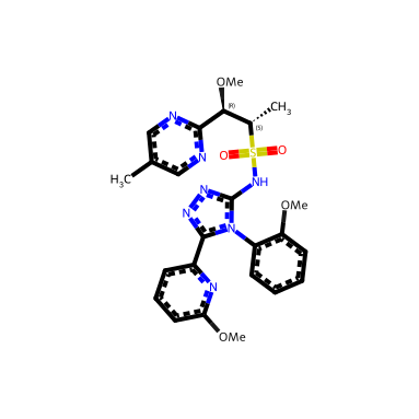 COc1cccc(-c2nnc(NS(=O)(=O)[C@@H](C)[C@H](OC)c3ncc(C)cn3)n2-c2ccccc2OC)n1